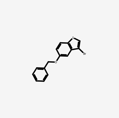 Brc1csc2ccc(OCc3ccccc3)cc12